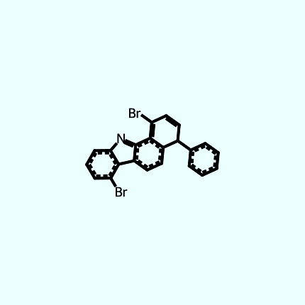 BrC1=c2c(ccc3c2=Nc2cccc(Br)c2-3)C(c2ccccc2)C=C1